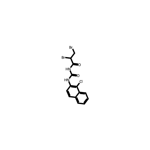 O=C(NC(=O)C(Br)CBr)Nc1ccc2ccccc2c1Cl